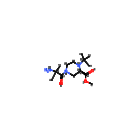 COC(=O)[C@H]1CN(C(=O)C(C)(C)N)CCN1C(C)(C)C